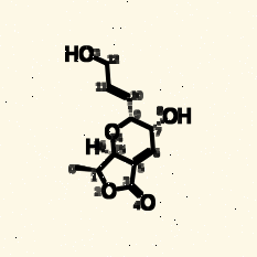 C[C@@H]1OC(=O)C2=C[C@@H](O)[C@@H](/C=C/CO)O[C@@H]21